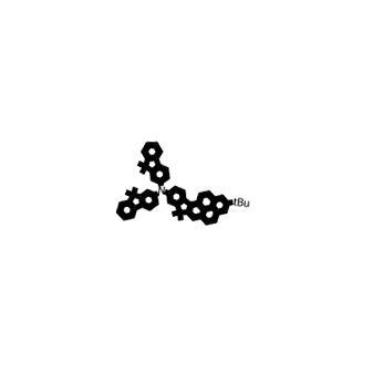 CC(C)(C)c1cc2ccc3cc4c(c5ccc(c1)c2c35)-c1ccc(N(c2ccc3c(c2)C(C)(C)c2ccccc2-3)c2ccc3c(c2)C(C)(C)c2ccccc2-3)cc1C4(C)C